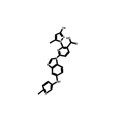 CCC(O)c1ccc(-n2cnc3cc(Nc4ccc(C)nc4)ccc32)nc1-n1nc(C#N)cc1C